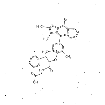 Cc1cc(-c2c3ccccc3c(Br)c3sc(C)c(C)c23)cc(C)c1OC(Cc1ccccc1)C(=O)NCC(=O)O